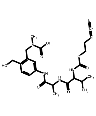 CC(NC(=O)C(NC(=O)OCCN=[N+]=[N-])C(C)C)C(=O)Nc1ccc(CO)c(CN(C)C(=O)O)c1